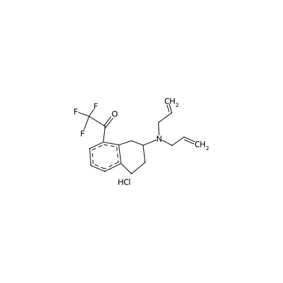 C=CCN(CC=C)C1CCc2cccc(C(=O)C(F)(F)F)c2C1.Cl